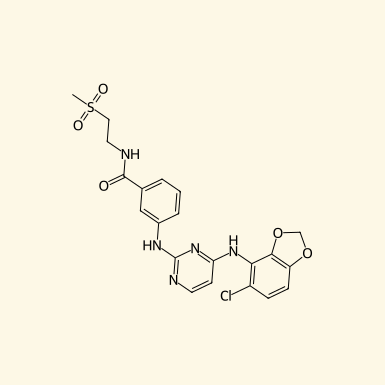 CS(=O)(=O)CCNC(=O)c1cccc(Nc2nccc(Nc3c(Cl)ccc4c3OCO4)n2)c1